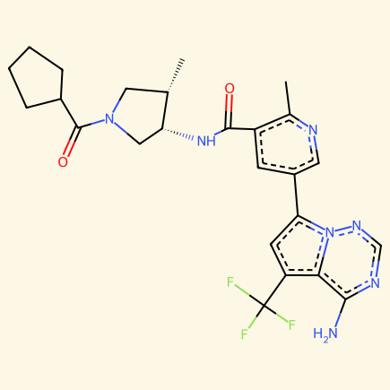 Cc1ncc(-c2cc(C(F)(F)F)c3c(N)ncnn23)cc1C(=O)N[C@@H]1CN(C(=O)C2CCCC2)C[C@@H]1C